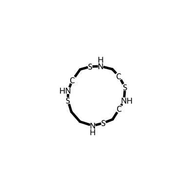 C1CSNCCSNCCSNCCSN1